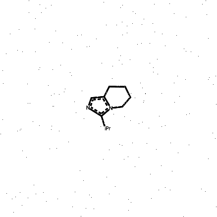 CC(C)c1ncc2n1CCCC2